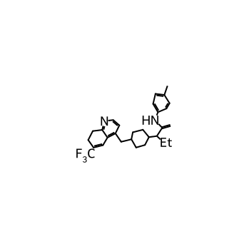 C=C(Nc1ccc(C)cc1)C(CC)C1CCC(Cc2ccnc3c2C=C(C(F)(F)F)CC3)CC1